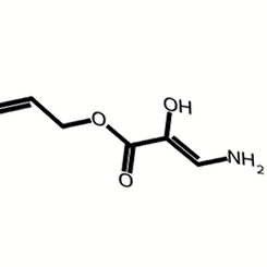 C=CCOC(=O)C(O)=CN